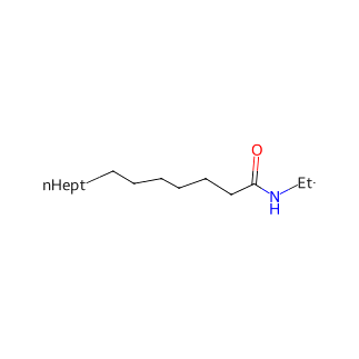 C[CH]NC(=O)CCCCCCCCCCCCC